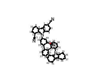 N#Cc1ccc2c(c1)c1cccc(C#N)c1n2-c1ccc(-c2ccccc2-c2ccccc2-n2c3ccccc3c3ccccc32)c(C#N)c1